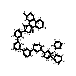 CC1C=Cc2c(c3c(c4ccccc24)NCC(c2cccc(-c4cccc(-c5cccc(-c6cccc(-c7ccc8c9ccccc9n(-c9ccccc9)c8c7)c6)c5)c4)c2)N3C)C1